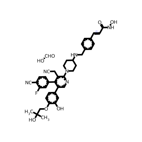 CC(C)(O)COc1ccc(-c2cnc(N3CCC(NCc4ccc(/C=C/C(=O)NO)cc4)CC3)c(CC#N)c2-c2ccc(C#N)c(F)c2)cc1O.O=CO